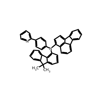 CC1(C)c2ccccc2-c2c(N(c3ccc(-c4ccccn4)cc3)c3ccc4c5c(cccc35)-c3ccccc3-4)cccc21